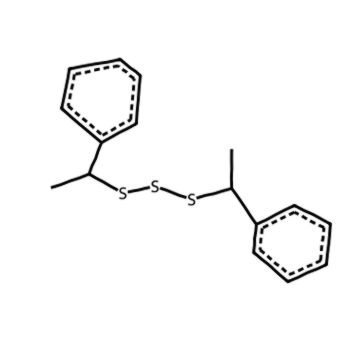 CC(SSSC(C)c1ccccc1)c1ccccc1